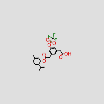 C=C(C)[C@H]1CCC(C)=C[C@H]1OC(=O)Cc1cc(CC(=O)O)cc(OS(=O)(=O)C(F)(F)F)c1